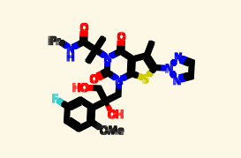 COc1ccc(F)cc1[C@](O)(CO)Cn1c(=O)n(C(C)(C)C(=O)NC(C)C)c(=O)c2c(C)c(-n3nccn3)sc21